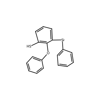 Sc1cccc([Si]c2ccccc2)c1Oc1ccccc1